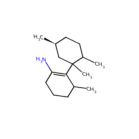 CC1CCCC(N)=C1C1(C)C[C@@H](C)CCC1C